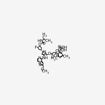 COCc1cc2c(Nc3cc([C@H]4C[C@@H](F)[C@@H](OC(=O)NC(C)C)C4)nn3COC(=O)CC(C)(C)c3c(C)cc(C)cc3OP(=O)(O)O)nccn2n1